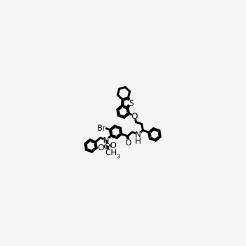 CS(=O)(=O)N(Cc1ccccc1)c1cc(C(=O)CNC(CCOc2cccc3c4c(sc23)CCCC4)c2ccccc2)ccc1Br